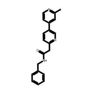 Cc1cc(-c2ccc(CC(=O)NCc3ccccc3)nc2)ccn1